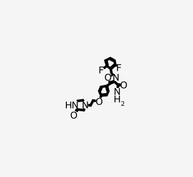 NC(=O)c1nc(-c2c(F)cccc2F)oc1-c1ccc(OCCN2CCNC(=O)C2)cc1